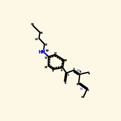 C=C(/C=C(C)\C=C\C)c1ccc(NCCCC)cc1